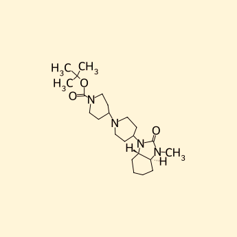 CN1C(=O)N(C2CCN(C3CCN(C(=O)OC(C)(C)C)CC3)CC2)[C@H]2CCCC[C@@H]21